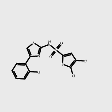 O=S(=O)(Nc1nc(-c2ccccc2Cl)cs1)c1cc(Cl)c(Cl)s1